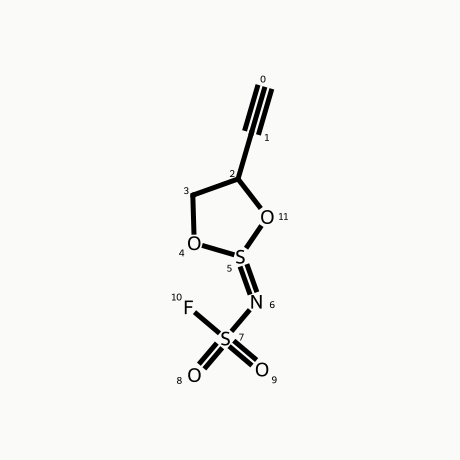 C#CC1COS(=NS(=O)(=O)F)O1